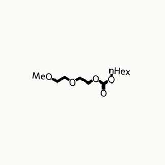 CCCCCCOC(=O)OCCOCCOC